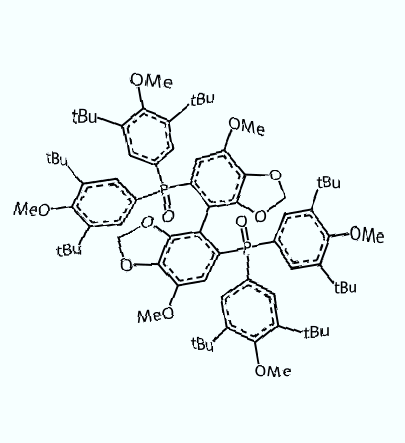 COc1cc(P(=O)(c2cc(C(C)(C)C)c(OC)c(C(C)(C)C)c2)c2cc(C(C)(C)C)c(OC)c(C(C)(C)C)c2)c(-c2c(P(=O)(c3cc(C(C)(C)C)c(OC)c(C(C)(C)C)c3)c3cc(C(C)(C)C)c(OC)c(C(C)(C)C)c3)cc(OC)c3c2OCO3)c2c1OCO2